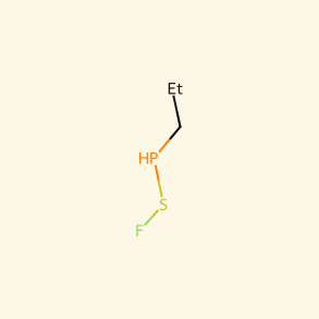 CCCPSF